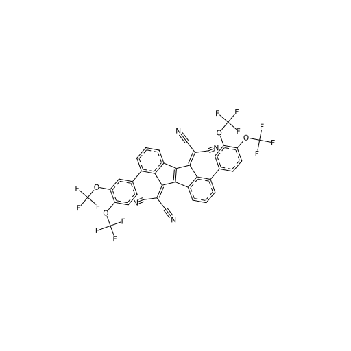 N#CC(C#N)=C1C2=C(C(=C(C#N)C#N)c3c2cccc3-c2ccc(OC(F)(F)F)c(OC(F)(F)F)c2)c2cccc(-c3ccc(OC(F)(F)F)c(OC(F)(F)F)c3)c21